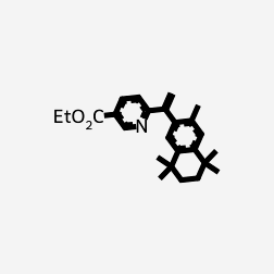 C=C(c1ccc(C(=O)OCC)cn1)c1cc2c(cc1C)C(C)(C)CCC2(C)C